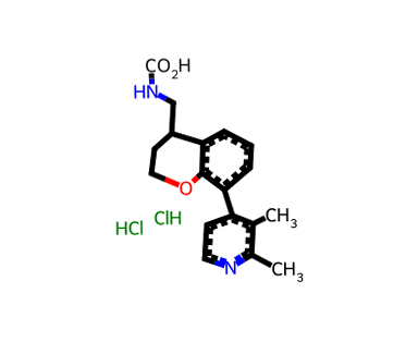 Cc1nccc(-c2cccc3c2OCCC3CNC(=O)O)c1C.Cl.Cl